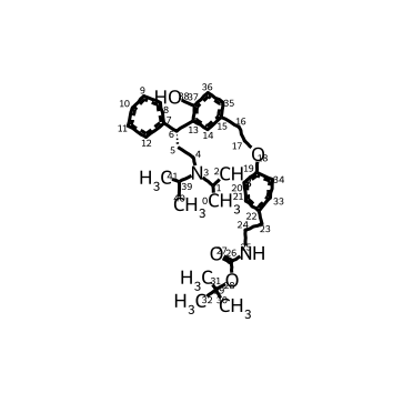 CC(C)N(CC[C@H](c1ccccc1)c1cc(CCOc2ccc(CCNC(=O)OC(C)(C)C)cc2)ccc1O)C(C)C